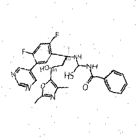 Cc1nc(C)c([C@H](O)C[C@](C)(NC(S)NC(=O)c2ccccc2)c2cc(-c3cncnc3)c(F)cc2F)o1